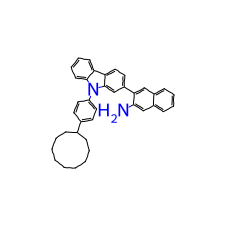 Nc1cc2ccccc2cc1-c1ccc2c3ccccc3n(-c3ccc(C4CCCCCCCCC4)cc3)c2c1